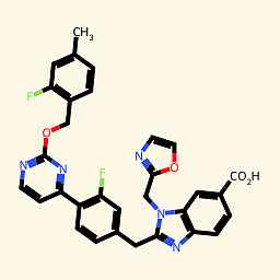 Cc1ccc(COc2nccc(-c3ccc(Cc4nc5ccc(C(=O)O)cc5n4Cc4ncco4)cc3F)n2)c(F)c1